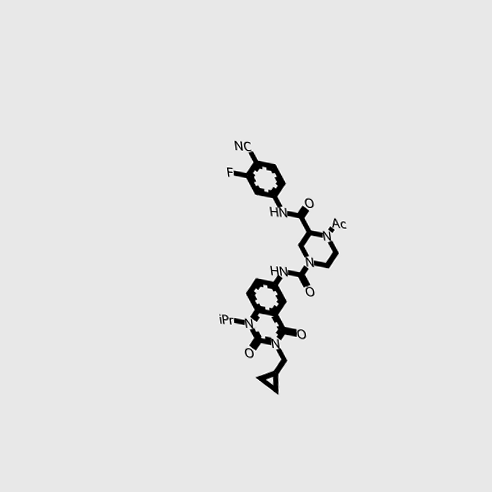 CC(=O)N1CCN(C(=O)Nc2ccc3c(c2)c(=O)n(CC2CC2)c(=O)n3C(C)C)CC1C(=O)Nc1ccc(C#N)c(F)c1